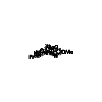 COc1cc(OC)c2c(Nc3cccc(NC(=O)Cn4cc(C(C)C)nn4)c3F)ncnc2c1